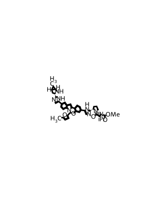 COC(=O)N[C@H](C(=O)N1CCC[C@H]1c1ncc(-c2ccc3c(c2)OC(c2ccc(C)o2)n2c-3cc3cc(-c4cnc([C@@H]5C[C@H]6[C@@H](C)[C@H]6N5)[nH]4)ccc32)[nH]1)C(C)C